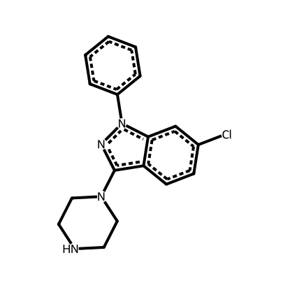 Clc1ccc2c(N3CCNCC3)nn(-c3ccccc3)c2c1